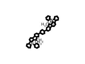 CC1(C)c2cc(-c3ccc(-c4ccc5c(c4)C(C)(C)c4c-5ccc5c6ccccc6n(-c6ccccc6)c45)cc3)ccc2-c2ccc3c4ccccc4n(-c4ccccc4)c3c21